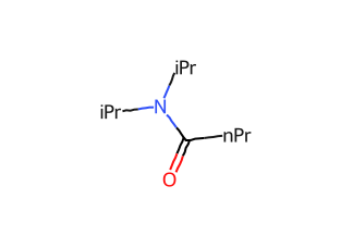 [CH2]CCC(=O)N(C(C)C)C(C)C